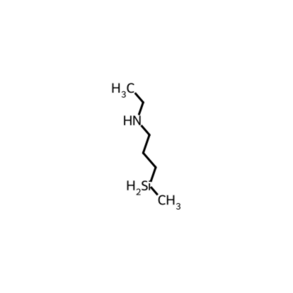 CCNCCC[SiH2]C